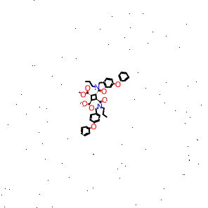 CCCN(Cc1ccc(Oc2ccccc2)cc1)C(=O)[C@H]1[C@@H](C(=O)OC)[C@H](C(=O)OC)[C@@H]1C(=O)N(CCC)Cc1ccc(Oc2ccccc2)cc1